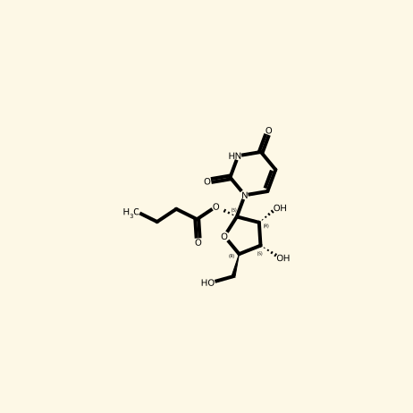 CCCC(=O)O[C@@]1(n2ccc(=O)[nH]c2=O)O[C@H](CO)[C@@H](O)[C@H]1O